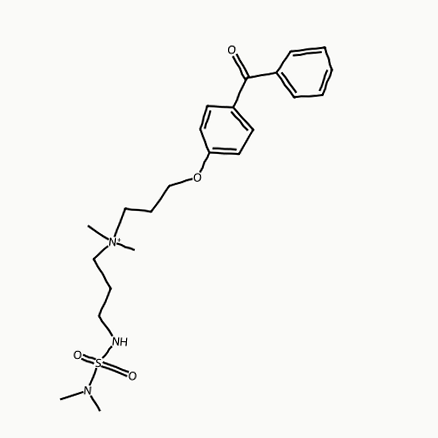 CN(C)S(=O)(=O)NCCC[N+](C)(C)CCCOc1ccc(C(=O)c2ccccc2)cc1